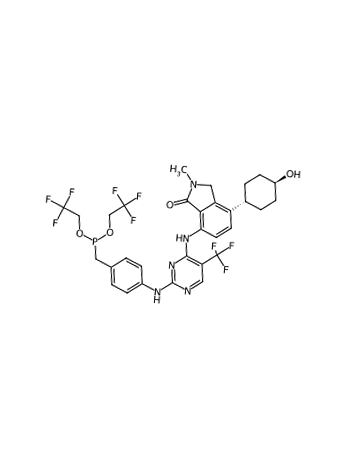 CN1Cc2c(c(Nc3nc(Nc4ccc(CP(OCC(F)(F)F)OCC(F)(F)F)cc4)ncc3C(F)(F)F)ccc2[C@H]2CC[C@H](O)CC2)C1=O